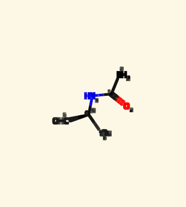 BC(=O)N[C@H](C=O)C(C)(C)C